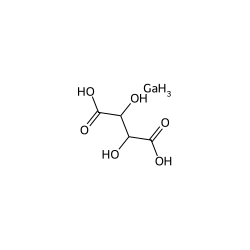 O=C(O)C(O)C(O)C(=O)O.[GaH3]